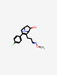 CON=CCCC1=C(c2ccc(F)cc2)CC2CC(O)C1N2